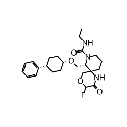 CCNC(=O)N1CCC[C@@]2(COC(F)C(=O)N2)[C@@H]1CO[C@H]1CC[C@@H](c2ccccc2)CC1